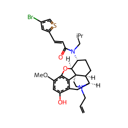 C=CCN1CC[C@]23c4c5c(O)cc(OC)c4O[C@H]2[C@H](N(CC(C)C)C(=O)/C=C/c2cc(Br)cs2)CC[C@H]3[C@H]1C5